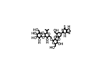 CC(C)C1OC(COC2OC(CO)C(O)C(OC3CN(c4nc(=S)c5[nH]cnc5[nH]4)CC(CO)O3)C2O)C(O)C(OC2OC(CO)C(O)C(O)C2O)C1O